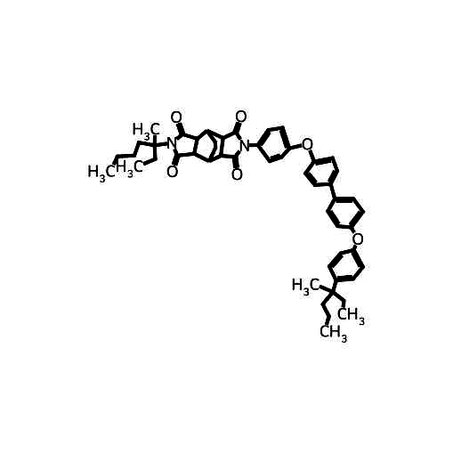 CCCCC(C)(CC)N1C(=O)C2C3CCC(C4C(=O)N(c5ccc(Oc6ccc(-c7ccc(Oc8ccc(C(C)(CC)CCC)cc8)cc7)cc6)cc5)C(=O)C34)C2C1=O